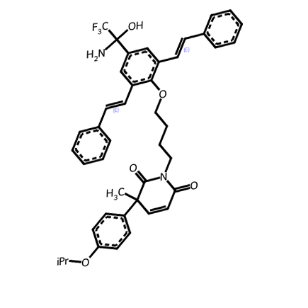 CC(C)Oc1ccc(C2(C)C=CC(=O)N(CCCCOc3c(/C=C/c4ccccc4)cc(C(N)(O)C(F)(F)F)cc3/C=C/c3ccccc3)C2=O)cc1